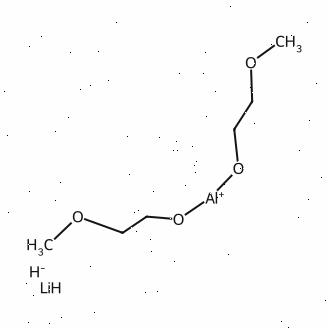 COCC[O][Al+][O]CCOC.[H-].[LiH]